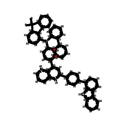 CC1(C)c2ccccc2-c2c(N(c3ccc(-c4cc(-c5ccc(-c6cccc7c6oc6ccccc67)cc5)nc5cccnc45)cc3)c3ccccc3-c3ccccc3)cccc21